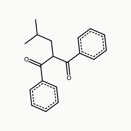 CC(C)CC(C(=O)c1ccccc1)C(=O)c1ccccc1